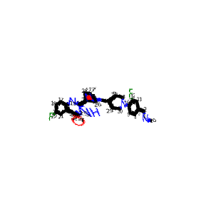 C=NCc1ccc(N2CCC(N3CC4(c5nc6ccc(F)cc6c(=O)[nH]5)CC3C4)CC2)c(F)c1